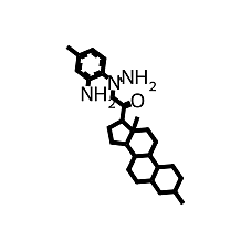 Cc1ccc(N(N)CC(=O)C2CCC3C4CCC5CC(C)CCC5C4CCC23C)c(N)c1